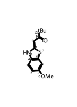 COc1ccc2c(c1)SC(=CC(=O)C(C)(C)C)N2